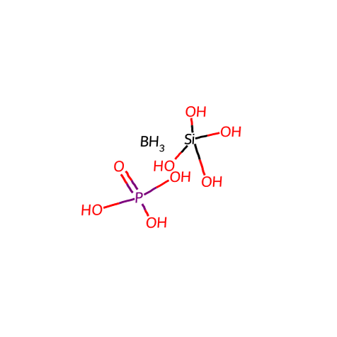 B.O=P(O)(O)O.O[Si](O)(O)O